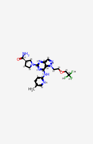 Cc1ccc(Nc2nc(N3CC[C@@H](C(N)=O)C3)nc3cnn(CCOCC(F)(F)F)c23)nc1